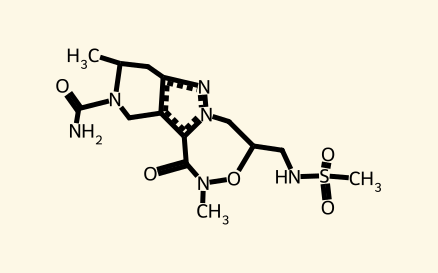 CC1Cc2nn3c(c2CN1C(N)=O)C(=O)N(C)OC(CNS(C)(=O)=O)C3